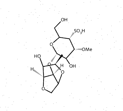 CO[C@@H]1C(O)[C@H](O[C@H]2C3CO[C@H]2C(O)[C@@H](C)O3)OC(CO)[C@@H]1S(=O)(=O)O